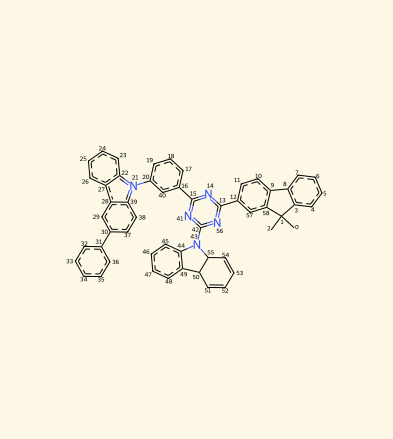 CC1(C)c2ccccc2-c2ccc(-c3nc(-c4cccc(-n5c6ccccc6c6cc(-c7ccccc7)ccc65)c4)nc(N4c5ccccc5C5C=CC=CC54)n3)cc21